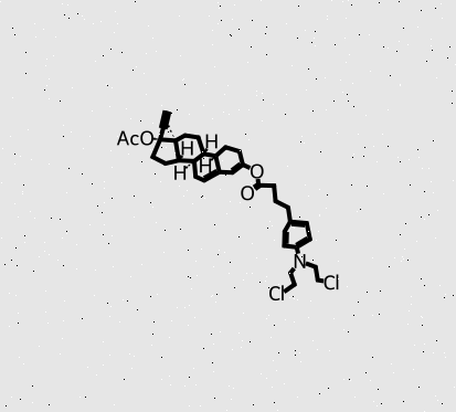 C#C[C@]1(OC(C)=O)CC[C@H]2[C@@H]3CC=C4C=C(OC(=O)CCCc5ccc(N(CCCl)CCCl)cc5)CC[C@@H]4[C@H]3CC[C@@]21C